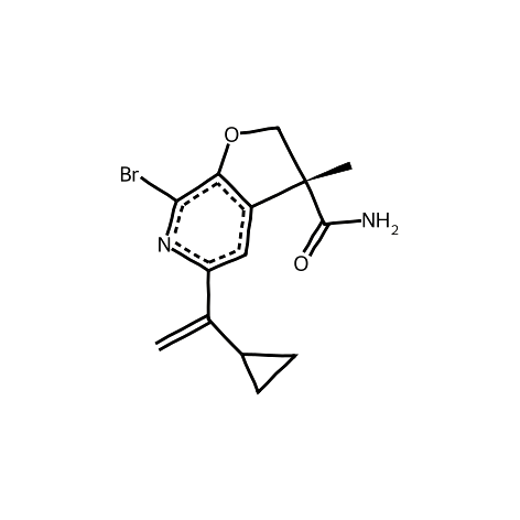 C=C(c1cc2c(c(Br)n1)OC[C@]2(C)C(N)=O)C1CC1